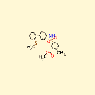 COC(=O)c1cc(S(=O)(=O)Nc2ccc(-c3ccccc3SC)cc2)ccc1C